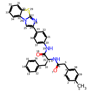 Cc1ccc(CC(=O)N[C@@H](Cc2ccccc2)C(=O)Nc2ccc(-c3cn4c(n3)sc3ccccc34)cc2)cc1